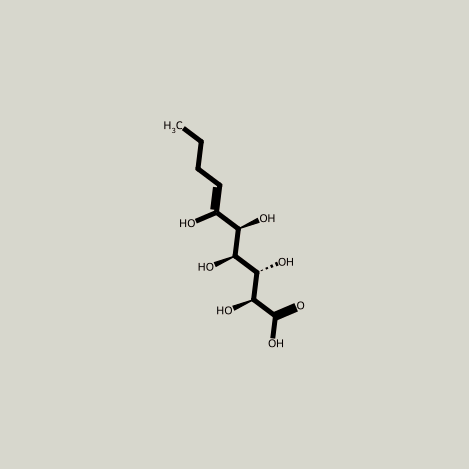 CCCC=C(O)[C@@H](O)[C@H](O)[C@H](O)[C@H](O)C(=O)O